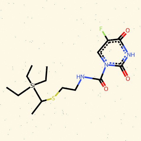 CC[Si](CC)(CC)C(C)SCCNC(=O)n1cc(F)c(=O)[nH]c1=O